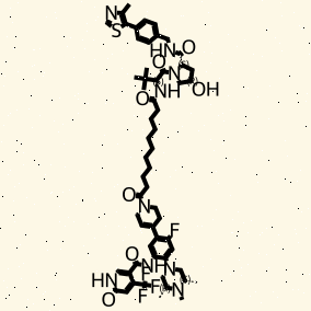 Cc1ncsc1-c1ccc(CNC(=O)[C@@H]2C[C@@H](O)CN2C(=O)[C@@H](NC(=O)CCCCCCCCCC(=O)N2CC=C(c3cc(NC(=O)c4c[nH]c(=O)cc4C(F)(F)F)c(N4C[C@@H](C)N(C)[C@@H](C)C4)cc3F)CC2)C(C)(C)C)cc1